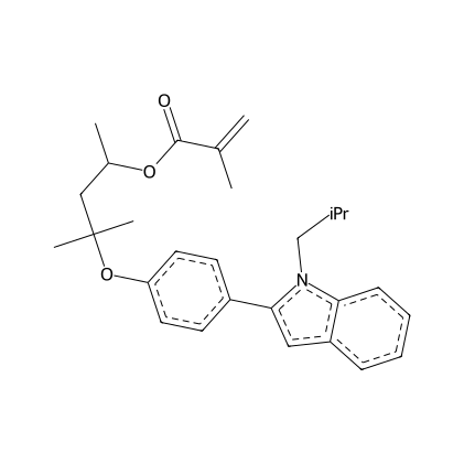 C=C(C)C(=O)OC(C)CC(C)(C)Oc1ccc(-c2cc3ccccc3n2CC(C)C)cc1